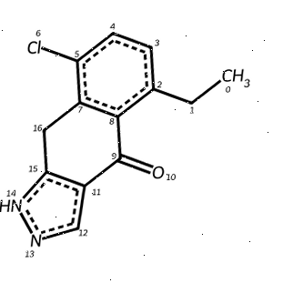 CCc1ccc(Cl)c2c1C(=O)c1cn[nH]c1C2